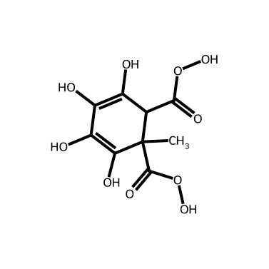 CC1(C(=O)OO)C(O)=C(O)C(O)=C(O)C1C(=O)OO